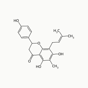 CC(C)=CCc1c(O)c(C)c(O)c2c1OC(c1ccc(O)cc1)CC2=O